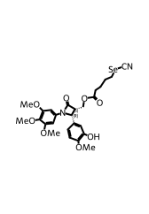 COc1ccc([C@H]2[C@@H](COC(=O)CCCC[Se]C#N)C(=O)N2c2cc(OC)c(OC)c(OC)c2)cc1O